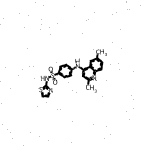 Cc1ccc2nc(C)cc(Nc3ccc(S(=O)(=O)Nc4nccs4)cc3)c2c1